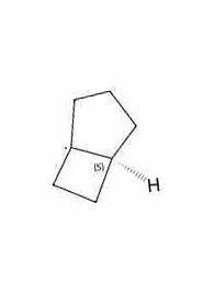 C1C[C]2CC[C@@H]2C1